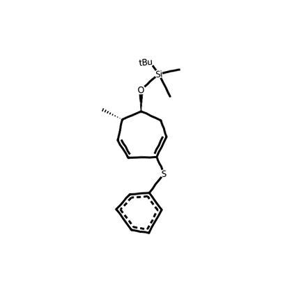 C[C@H]1C=CC(Sc2ccccc2)=CC[C@@H]1O[Si](C)(C)C(C)(C)C